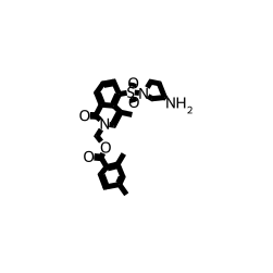 Cc1ccc(C(=O)OCn2cc(C)c3c(S(=O)(=O)N4CCC(N)C4)cccc3c2=O)c(C)c1